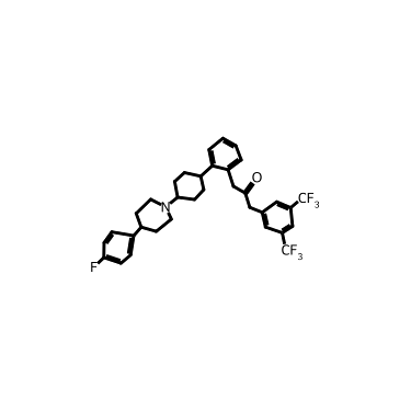 O=C(Cc1cc(C(F)(F)F)cc(C(F)(F)F)c1)Cc1ccccc1C1CCC(N2CCC(c3ccc(F)cc3)CC2)CC1